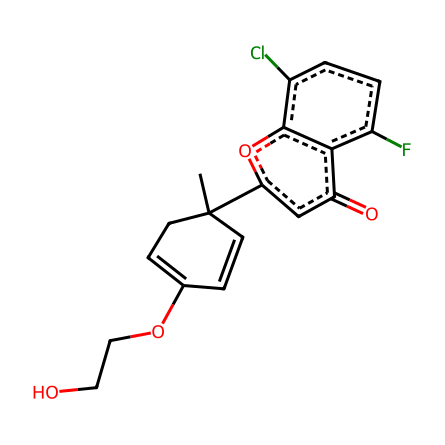 CC1(c2cc(=O)c3c(F)ccc(Cl)c3o2)C=CC(OCCO)=CC1